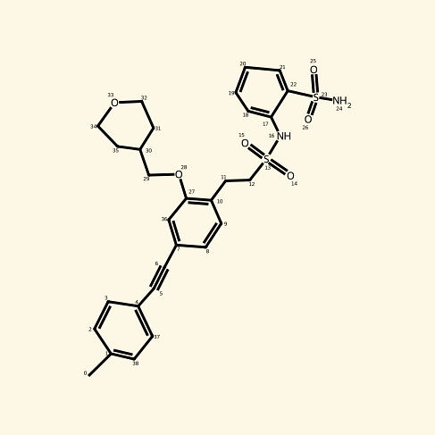 Cc1ccc(C#Cc2ccc(CCS(=O)(=O)Nc3ccccc3S(N)(=O)=O)c(OCC3CCOCC3)c2)cc1